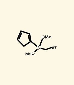 CO[Si](CC(C)C)(OC)C1=CC=CC1